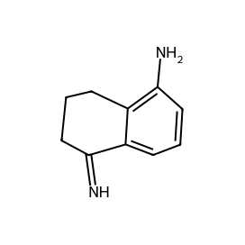 N=C1CCCc2c(N)cccc21